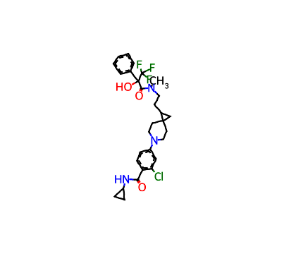 CN(CCC1CC12CCN(c1ccc(C(=O)NC3CC3)c(Cl)c1)CC2)C(=O)C(O)(c1ccccc1)C(F)(F)F